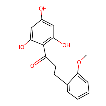 COc1ccccc1CCC(=O)c1c(O)cc(O)cc1O